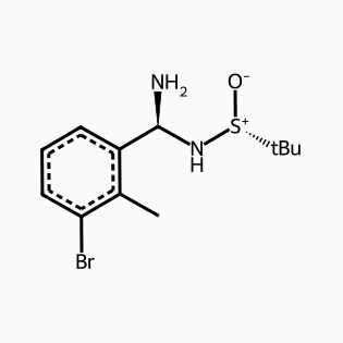 Cc1c(Br)cccc1[C@@H](N)N[S@+]([O-])C(C)(C)C